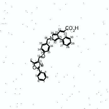 Cc1oc(-c2ccccc2)nc1COc1ccc(Cn2cc(C=CC(=O)O)c(-c3ccccc3)c2)cc1